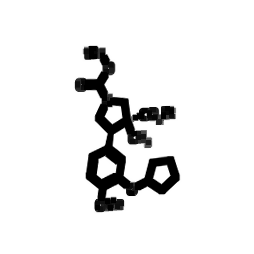 CCOC(=O)[C@@]1(C)CN(C(=O)OC(C)(C)C)C[C@@H]1c1ccc(OC)c(OC2CCCC2)c1